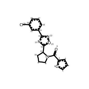 O=C(c1ccco1)N1CCCC1c1nc(-c2cccc(Cl)c2)no1